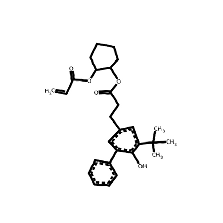 C=CC(=O)OC1CCCCC1OC(=O)CCc1cc(-c2ccccc2)c(O)c(C(C)(C)C)c1